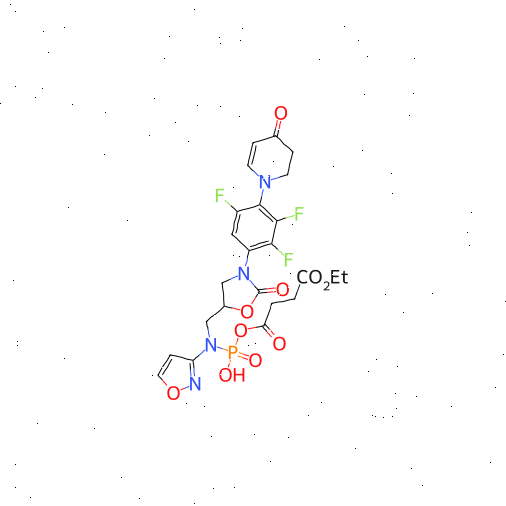 CCOC(=O)CCC(=O)OP(=O)(O)N(CC1CN(c2cc(F)c(N3C=CC(=O)CC3)c(F)c2F)C(=O)O1)c1ccon1